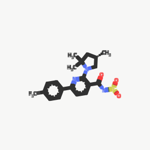 C[C@@H]1CN(c2nc(-c3ccc(C(F)(F)F)cc3)ccc2C(=O)N=S(=O)=O)C(C)(C)C1